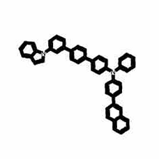 c1ccc(N(c2ccc(-c3ccc(-c4cccc(-n5ccc6ccccc65)c4)cc3)cc2)c2ccc(-c3ccc4ccccc4c3)cc2)cc1